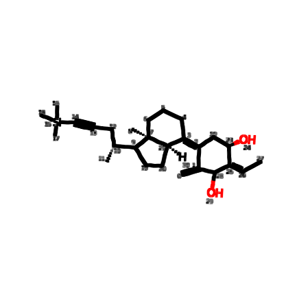 C=C1C(=C2CCC[C@]3(C)C([C@H](C)CC#C[Si](C)(C)C)CC[C@H]23)C[C@@H](O)/C(=C\C)C1O